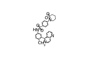 Cc1ccc(NS(=O)(=O)c2ccc(N3CCCCS3(=O)=O)cc2)cc1-c1nccc2ncccc12